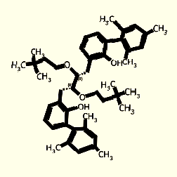 Cc1cc(C)c(-c2cccc(C[C@@H](OCCC(C)(C)C)[C@@H](Cc3cccc(-c4c(C)cc(C)cc4C)c3O)OCCC(C)(C)C)c2O)c(C)c1